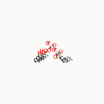 [Ca+2].[Ca+2].[Ca+2].[Ca+2].[Ca+2].[Cl-].[Cl-].[O-]B([O-])[O-].[O-]B([O-])[O-].[OH-].[OH-]